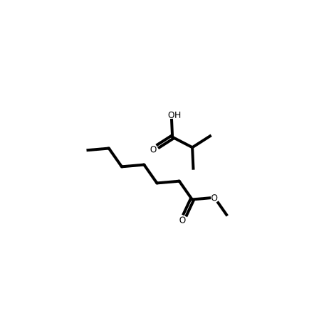 CC(C)C(=O)O.CCCCCCC(=O)OC